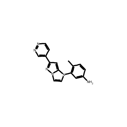 Cc1ccc(N)cc1-n1ccn2nc(-c3ccnnc3)cc12